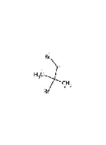 CC(C)(Br)[CH]Br